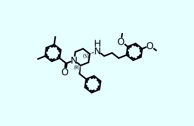 COc1ccc(CCCN[C@H]2CCN(C(=O)c3cc(C)cc(C)c3)[C@H](Cc3ccccc3)C2)c(OC)c1